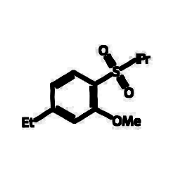 CCc1ccc(S(=O)(=O)C(C)C)c(OC)c1